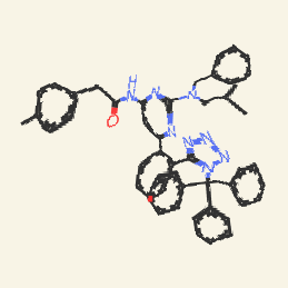 Cc1ccc(CC(=O)Nc2cc(-c3ccccc3-c3nnnn3C(c3ccccc3)(c3ccccc3)c3ccccc3)nc(N(Cc3ccccc3)CC(C)C)n2)cc1